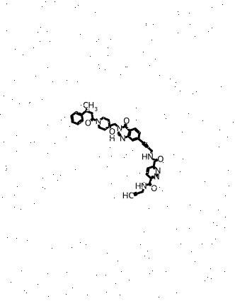 C#CCNC(=O)c1ccc(C(=O)NCC#Cc2ccc3c(=O)n(CC4(O)CCN(C(=O)C[C@H](C)c5ccccc5)CC4)cnc3c2)nn1